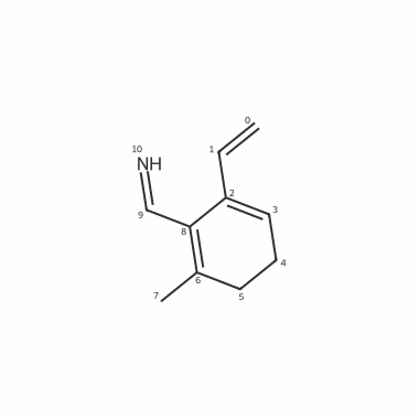 C=CC1=CCCC(C)=C1C=N